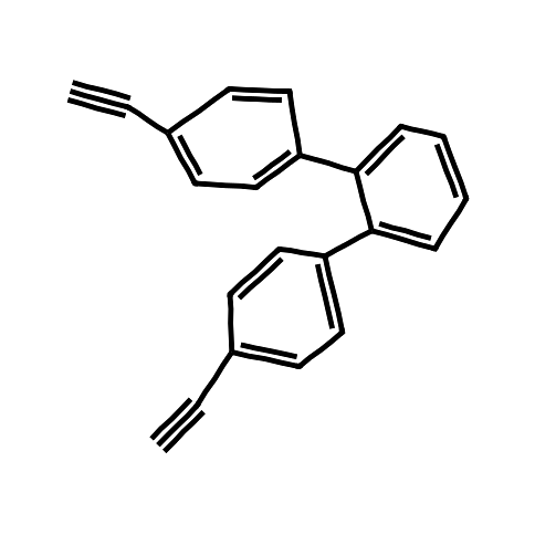 C#Cc1ccc(-c2ccccc2-c2ccc(C#C)cc2)cc1